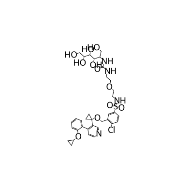 O=C(NCCOCCNS(=O)(=O)c1ccc(Cl)c(COC2(c3cnccc3-c3ccccc3OC3CC3)CC2)c1)NC(CO)C(O)C(O)C(O)CO